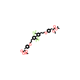 CCO[C@@H](Cc1ccc(OCCCc2ccc(-c3ccc(CCCOc4ccc(C[C@H](OCC)C(=O)OC(C)C)cc4)cc3C(F)(F)F)c(C(F)(F)F)c2)cc1)C(=O)O